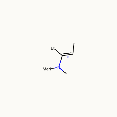 C/C=C(\CC)N(C)NC